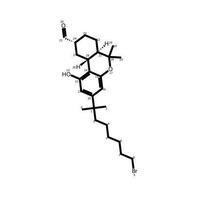 CC(C)(CCCCCCBr)c1cc(O)c2c(c1)OC(C)(C)[C@@H]1CC[C@@H](C=O)C[C@@H]21